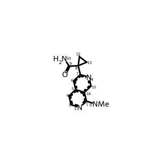 CNc1nccc2cc(C3(C(N)=O)CC3)ncc12